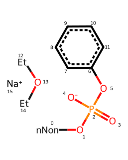 CCCCCCCCCOP(=O)([O-])Oc1ccccc1.CCOCC.[Na+]